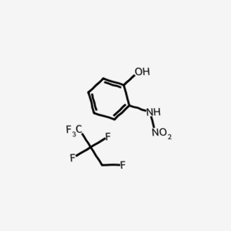 FCC(F)(F)C(F)(F)F.O=[N+]([O-])Nc1ccccc1O